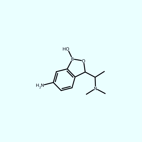 CC(C1OB(O)c2cc(N)ccc21)N(C)C